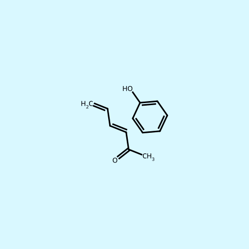 C=CC=CC(C)=O.Oc1ccccc1